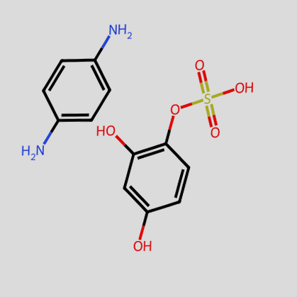 Nc1ccc(N)cc1.O=S(=O)(O)Oc1ccc(O)cc1O